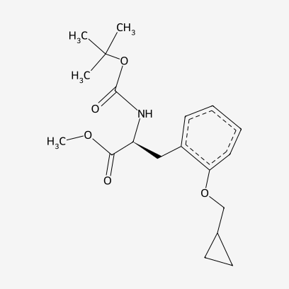 COC(=O)[C@H](Cc1ccccc1OCC1CC1)NC(=O)OC(C)(C)C